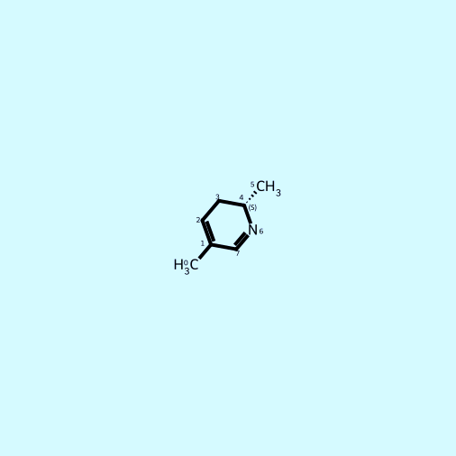 CC1=CC[C@H](C)N=C1